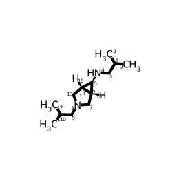 CC(C)CN[C@H]1[C@@H]2CN(CC(C)C)C[C@@H]21